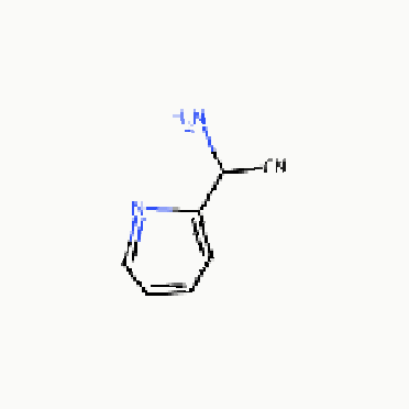 N#CC(N)c1ccccn1